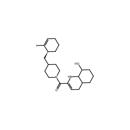 O=C(C1=CCC2CCCC(O)C2N1)N1CCC(C[C@@H]2CCCC=C2I)CC1